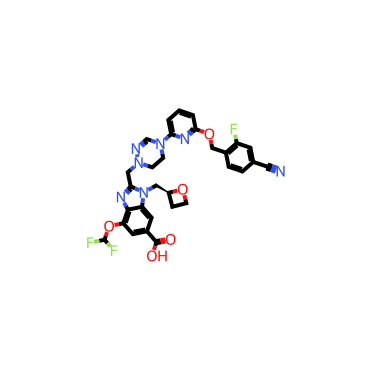 N#Cc1ccc(COc2cccc(N3C=NN(Cc4nc5c(OC(F)F)cc(C(=O)O)cc5n4C[C@@H]4CCO4)CC3)n2)c(F)c1